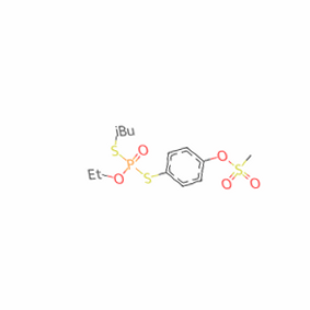 CCOP(=O)(Sc1ccc(OS(C)(=O)=O)cc1)SC(C)CC